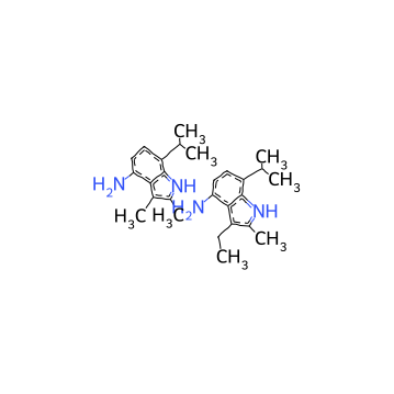 CCc1c(C)[nH]c2c(C(C)C)ccc(N)c12.Cc1[nH]c2c(C(C)C)ccc(N)c2c1C